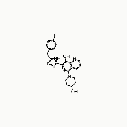 Oc1c(-c2nnc(Cc3ccc(F)cc3)[nH]2)nc(N2CCC(O)CC2)c2cccnc12